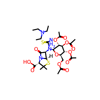 CC(=O)OC[C@H]1O[C@@H](N(C(N)=S)[C@@H]2C(=O)N3[C@@H]2SC(C)(C)[C@@H]3C(=O)O)[C@H](OC(C)=O)[C@@H](OC(C)=O)[C@@H]1OC(C)=O.CCN(CC)CC